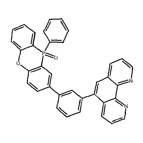 O=P1(c2ccccc2)c2ccccc2Oc2ccc(-c3cccc(-c4cc5cccnc5c5ncccc45)c3)cc21